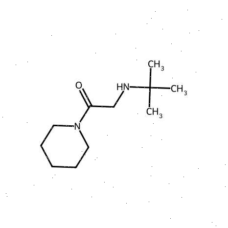 CC(C)(C)NCC(=O)N1CCCCC1